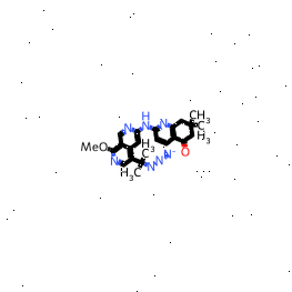 COc1ncc(C(C)(C)N=[N+]=[N-])c2cc(Nc3ccc4c(n3)CC(C)(C)CC4=O)ncc12